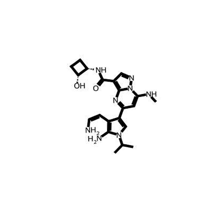 CNc1cc(-c2cn(C(C)C)c(N)c2/C=C\N)nc2c(C(=O)N[C@H]3CC[C@H]3O)cnn12